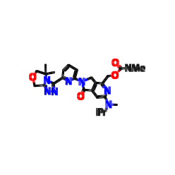 CNC(=O)OCc1nc(N(C)C(C)C)cc2c1CN(c1cccc(-c3nnc4n3C(C)(C)COC4)n1)C2=O